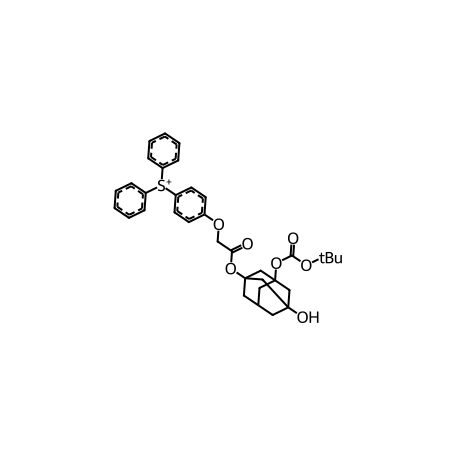 CC(C)(C)OC(=O)OC12CC3CC(O)(CC(OC(=O)COc4ccc([S+](c5ccccc5)c5ccccc5)cc4)(C3)C1)C2